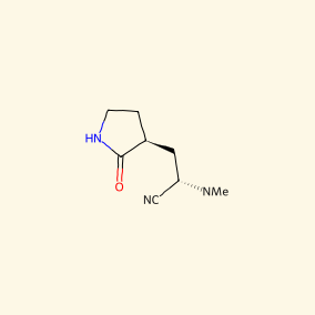 CN[C@H](C#N)C[C@@H]1CCNC1=O